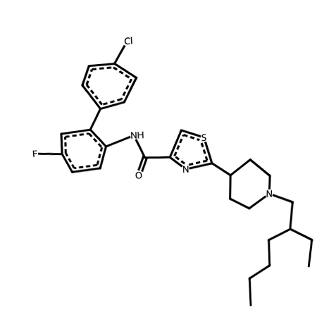 CCCCC(CC)CN1CCC(c2nc(C(=O)Nc3ccc(F)cc3-c3ccc(Cl)cc3)cs2)CC1